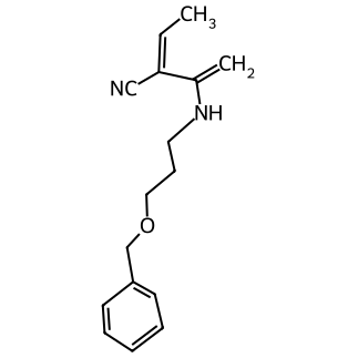 C=C(NCCCOCc1ccccc1)/C(C#N)=C\C